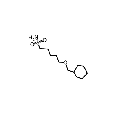 NS(=O)(=O)CCCCCOCC1CCCCC1